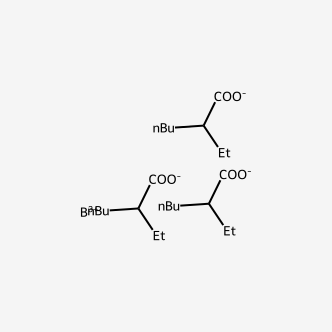 CCCCC(CC)C(=O)[O-].CCCCC(CC)C(=O)[O-].CCCCC(CC)C(=O)[O-].[B+3]